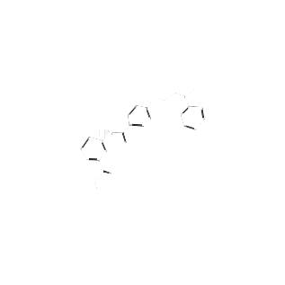 CC(CCOc1ccc(C(=O)Nc2cccc(C(=O)CO)c2)cc1)c1ccccc1